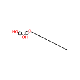 C#CC#CC#CC#CC#CC#CC#CC#CC#CC#CC#COc1ccc(C(O)c2ccc(O)cc2)cc1